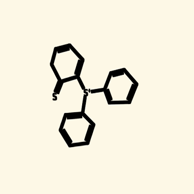 S=C1CC=CC=C1[S+](c1ccccc1)c1ccccc1